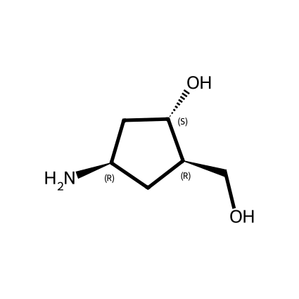 N[C@@H]1C[C@H](CO)[C@@H](O)C1